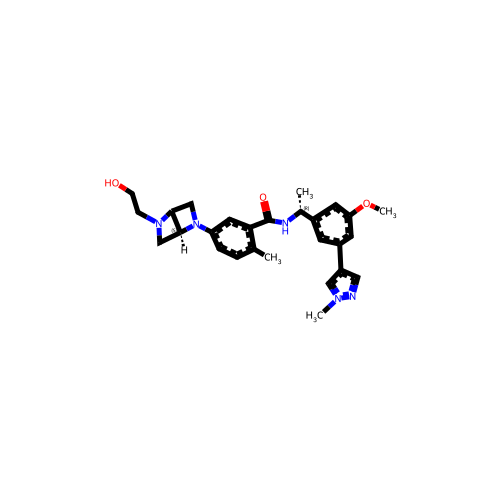 COc1cc(-c2cnn(C)c2)cc([C@@H](C)NC(=O)c2cc(N3CC4[C@@H]3CN4CCO)ccc2C)c1